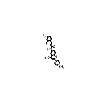 Cc1cc(N2CCN(C)CC2)nc2ccc(NC(=O)C=Cc3ccc(C(F)(F)F)cc3F)cc12